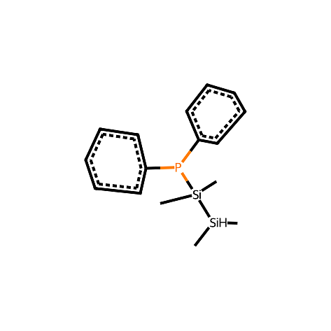 C[SiH](C)[Si](C)(C)P(c1ccccc1)c1ccccc1